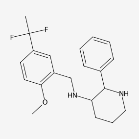 COc1ccc(C(C)(F)F)cc1CNC1CCCNC1c1ccccc1